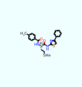 CSCC[Si@H](NC(=O)c1ccc(C)cc1)C(=O)Nc1nc(-c2ccccc2)cs1